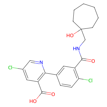 O=C(NCC1(O)CCCCCC1)c1cc(-c2ncc(Cl)cc2C(=O)O)ccc1Cl